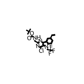 C=Cc1ccc2c(c1)c1nc(CNC(=O)OC(C)(C)C)nc(Cl)c1n2CC(F)(F)F